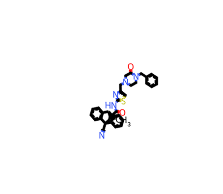 CC1(C(=O)Nc2nc(CN3CCN(Cc4ccccc4)C(=O)C3)cs2)CC2(C#N)c3ccccc3C1c1ccccc12